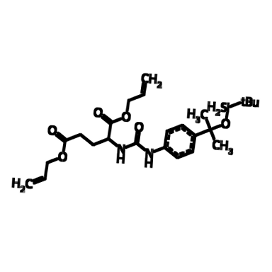 C=CCOC(=O)CCC(NC(=O)Nc1ccc(C(C)(C)O[SiH2]C(C)(C)C)cc1)C(=O)OCC=C